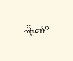 CCCCC1(CC2CCCCC2)NC(=N)N(Cc2ccc(CNC(=O)NC3CCCCC3)cc2)C1=O